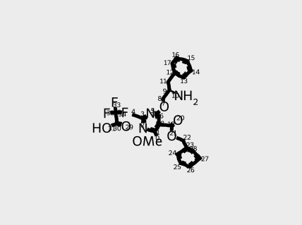 COc1nc(C)nc(OC[C@H](N)Cc2ccccc2)c1C(=O)OCc1ccccc1.O=C(O)C(F)(F)F